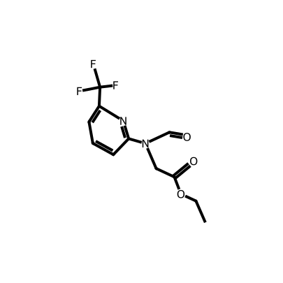 CCOC(=O)CN(C=O)c1cccc(C(F)(F)F)n1